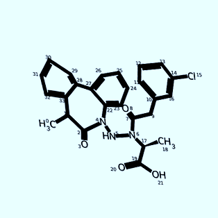 CC1C(=O)N(NN(C(=O)Cc2cccc(Cl)c2)[C@@H](C)C(=O)O)c2ccccc2-c2ccccc21